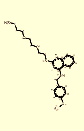 COCCOCCOCCOc1nc(NCc2ccc(OC)cc2)c2ccccc2n1